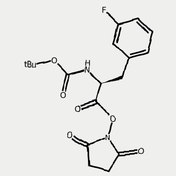 CC(C)(C)OC(=O)N[C@@H](Cc1cccc(F)c1)C(=O)ON1C(=O)CCC1=O